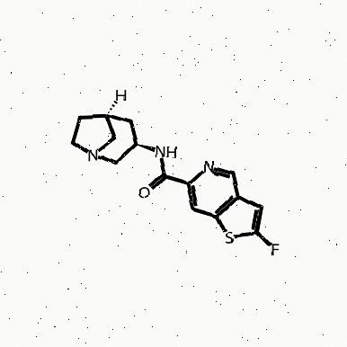 O=C(N[C@@H]1C[C@@H]2CCN(C2)C1)c1cc2sc(F)cc2cn1